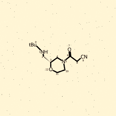 CC(C)(C)NC[C@@H]1CN(C(=O)CC#N)CCO1